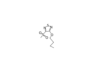 CCCCOc1nsnc1S(C)(=O)=O